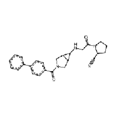 N#C[C@@H]1CCCN1C(=O)CNC1C2CN(C(=O)c3ccc(-c4ccccc4)cc3)CC21